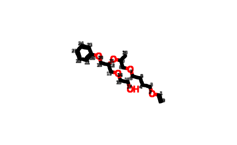 C=COCCCCOCC(C)OC(COCCO)COc1ccccc1